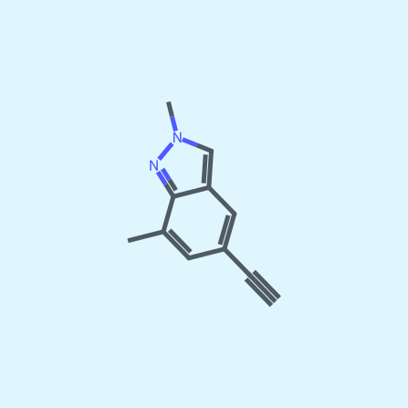 C#Cc1cc(C)c2nn(C)cc2c1